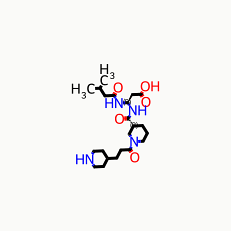 CC(C)CC(=O)N[C@@H](CC(=O)O)NC(=O)[C@@H]1CCCN(C(=O)CCC2CCNCC2)C1